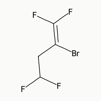 FC(F)=C(Br)CC(F)F